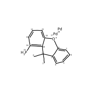 CC1(C)c2ccccc2Oc2cccc(P)c21.[Pd].[Pd]